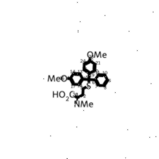 CN[C@H](CCSC(c1ccccc1)(c1ccc(OC)cc1)c1ccc(OC)cc1)C(=O)O